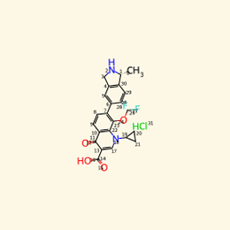 C[C@H]1NCc2cc(-c3ccc4c(=O)c(C(=O)O)cn(C5CC5)c4c3OC(F)F)ccc21.Cl